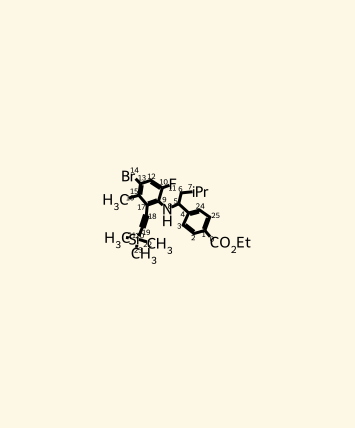 CCOC(=O)c1ccc(C(CC(C)C)Nc2c(F)cc(Br)c(C)c2C#C[Si](C)(C)C)cc1